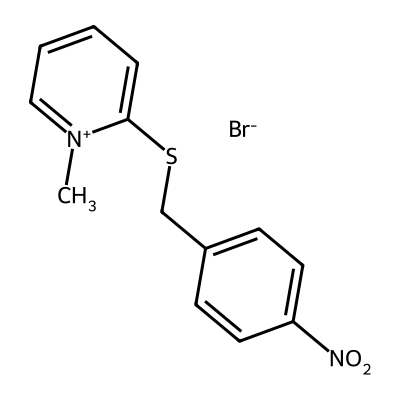 C[n+]1ccccc1SCc1ccc([N+](=O)[O-])cc1.[Br-]